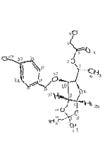 C[C@@H](OC(=O)CCl)[C@H]1O[C@@H]2OC(C)(C)O[C@@H]2[C@H]1OCc1ccc(Cl)cc1